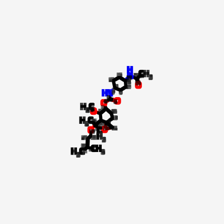 COC1C(OC(=O)N[C@H]2CC[C@H](NC(C)=O)CC2)CC[C@]2(CO2)C1C(C)(C)OCC=C(C)C